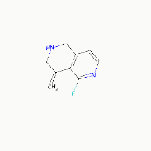 C=C1CNCc2ccnc(F)c21